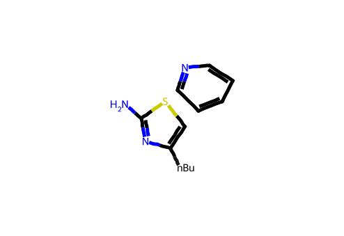 CCCCc1csc(N)n1.c1ccncc1